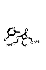 CCc1ccnc(C[C@]2(OCOC)C(=O)N(COC)[C@H]2CC(C)C)c1